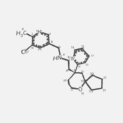 Cc1ncc(CNCC[C@]2(c3ccccn3)CCOC3(CCCC3)C2)cc1Cl